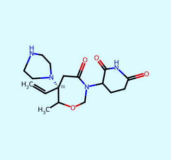 C=C[C@@]1(N2CCNCC2)CC(=O)N(C2CCC(=O)NC2=O)COC1C